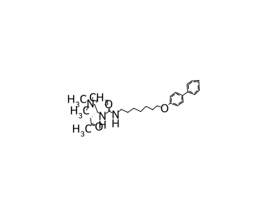 CC(=O)C[C@H](C[N+](C)(C)C)NC(=O)NCCCCCCCOc1ccc(-c2ccccc2)cc1